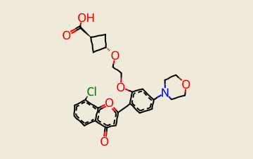 O=c1cc(-c2ccc(N3CCOCC3)cc2OCCO[C@H]2C[C@H](C(=O)O)C2)oc2c(Cl)cccc12